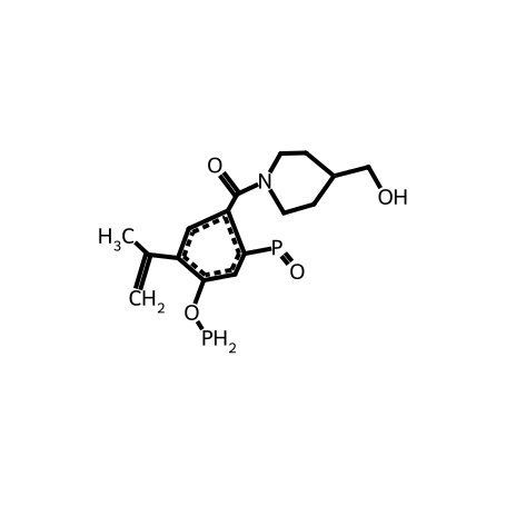 C=C(C)c1cc(C(=O)N2CCC(CO)CC2)c(P=O)cc1OP